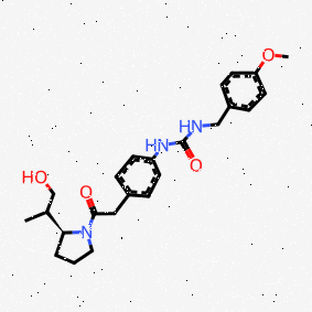 COc1ccc(CNC(=O)Nc2ccc(CC(=O)N3CCC[C@H]3C(C)CO)cc2)cc1